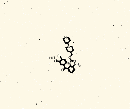 Cl.Nc1cccc(C(=O)c2ccc(Cl)c(Cl)c2)c1NC(=O)OCC1CCN(c2ccncc2)CC1